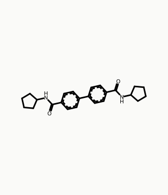 O=C(NC1CCCC1)c1ccc(-c2ccc(C(=O)NC3CCCC3)cc2)cc1